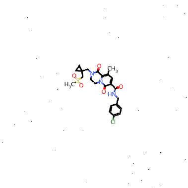 Cc1cc(C(=O)NCc2ccc(Cl)cc2)c(=O)n2c1C(=O)N(CC1(CS(C)(=O)=O)CC1)CC2